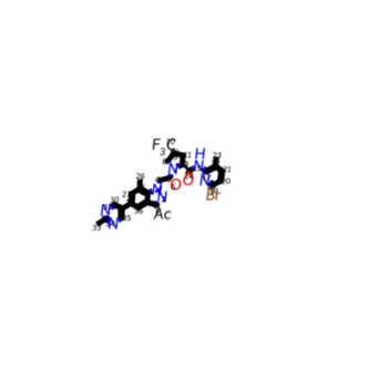 CC(=O)c1nn(CC(=O)N2C[C@@H](C(F)(F)F)C[C@H]2C(=O)Nc2nc(Br)ccc2C)c2c(C)cc(-c3cnc(C)nc3)cc12